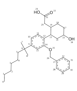 CCCCCCC(C)(C)c1ccc(C2CC(O)CCC2CC(=O)O)c(OCc2ccccc2)c1